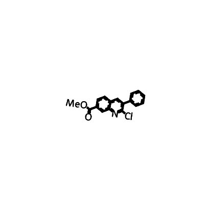 COC(=O)c1ccc2cc(-c3ccccc3)c(Cl)nc2c1